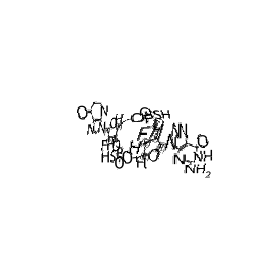 Nc1nc2c(nnn2[C@@H]2O[C@@H]3COP(=O)(S)O[C@H]4[C@H](F)[C@H](n5cnc6c5N=CCC6=O)O[C@@H]4COP(=O)(S)O[C@@H]2[C@@H]3F)c(=O)[nH]1